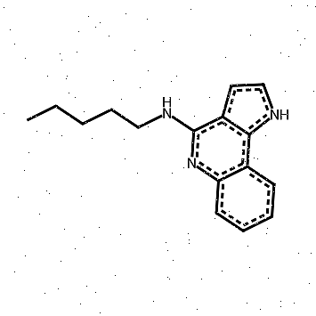 CCCCCNc1nc2ccccc2c2[nH]ccc12